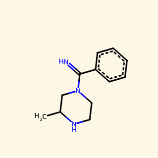 CC1CN(C(=N)c2ccccc2)CCN1